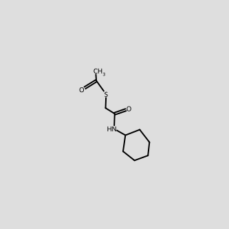 CC(=O)SCC(=O)NC1CCCCC1